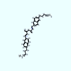 C=C(/C=C/c1ccc2cc(CCCN)ccc2c1)CC(=C)/C=C/c1ccc2cc(CCCN)ccc2c1